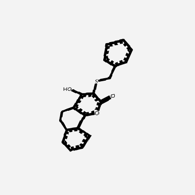 O=c1oc2c(c(O)c1SCc1ccccc1)CCc1ccccc1-2